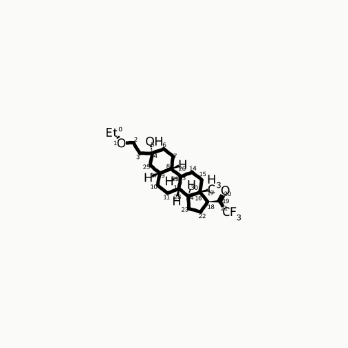 CCOCC[C@@]1(O)CC[C@H]2[C@H](CC[C@@H]3[C@@H]2CC[C@]2(C)[C@@H](C(=O)C(F)(F)F)CC[C@@H]32)C1